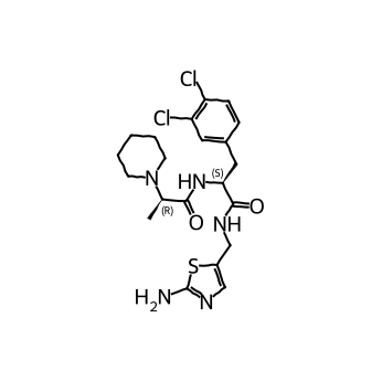 C[C@H](C(=O)N[C@@H](Cc1ccc(Cl)c(Cl)c1)C(=O)NCc1cnc(N)s1)N1CCCCC1